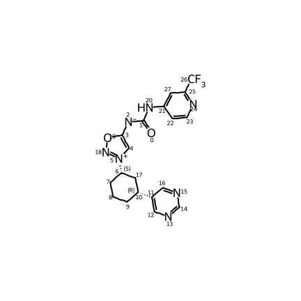 O=C([N-]c1c[n+]([C@H]2CCC[C@@H](c3cncnc3)C2)no1)Nc1ccnc(C(F)(F)F)c1